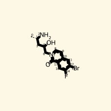 C[C@H](N)CC(O)Cn1ccc2cc(Br)c(F)cc2c1=O